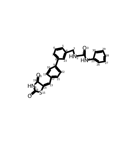 O=C(NCc1cccc(-c2ccc(C=C3SC(=O)NC3=O)cc2)c1)Nc1ccccc1